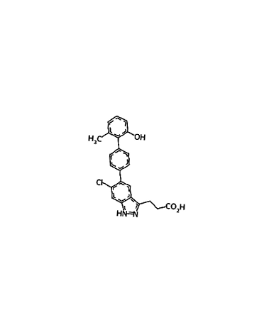 Cc1cccc(O)c1-c1ccc(-c2cc3c(CCC(=O)O)n[nH]c3cc2Cl)cc1